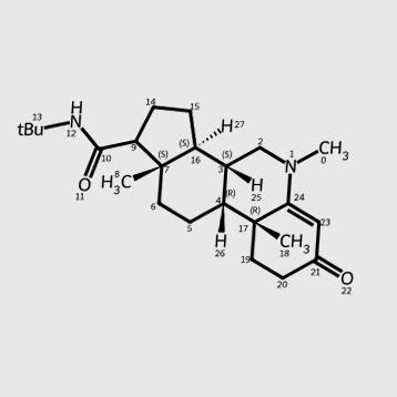 CN1C[C@@H]2[C@@H](CC[C@]3(C)C(C(=O)NC(C)(C)C)CC[C@@H]23)[C@@]2(C)CCC(=O)C=C12